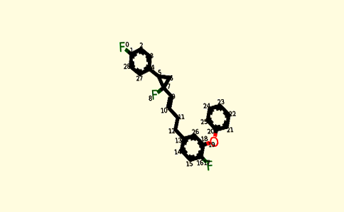 Fc1ccc(C2CC2(F)C=CCCc2ccc(F)c(Oc3ccccc3)c2)cc1